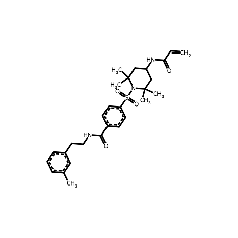 C=CC(=O)NC1CC(C)(C)N(S(=O)(=O)c2ccc(C(=O)NCCc3cccc(C)c3)cc2)C(C)(C)C1